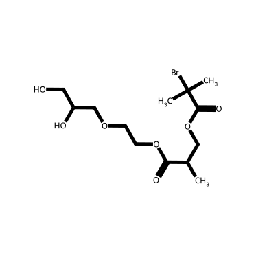 CC(COC(=O)C(C)(C)Br)C(=O)OCCOCC(O)CO